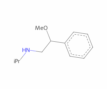 COC(CNC(C)C)c1ccccc1